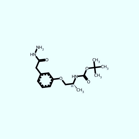 C[C@H](COc1cccc(CC(=O)NN)c1)NC(=O)OC(C)(C)C